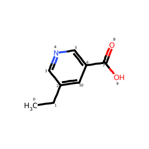 CCc1cncc(C(=O)O)c1